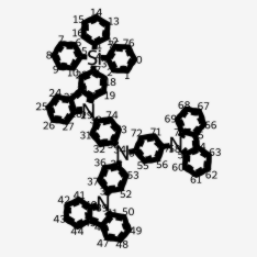 c1ccc([Si](c2ccccc2)(c2ccccc2)c2ccc3c(c2)c2ccccc2n3-c2ccc(N(c3ccc(-n4c5ccccc5c5ccccc54)cc3)c3ccc(-n4c5ccccc5c5ccccc54)cc3)cc2)cc1